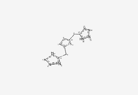 c1cc(Cc2nnn[nH]2)sc1Cc1nnn[nH]1